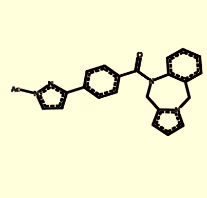 CC(=O)n1ccc(-c2ccc(C(=O)N3Cc4cccn4Cc4ccccc43)cc2)n1